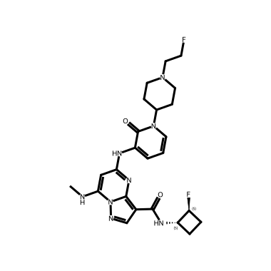 CNc1cc(Nc2cccn(C3CCN(CCF)CC3)c2=O)nc2c(C(=O)N[C@H]3CC[C@@H]3F)cnn12